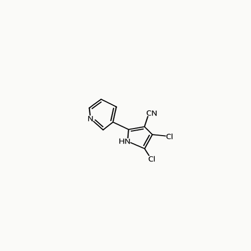 N#Cc1c(-c2cccnc2)[nH]c(Cl)c1Cl